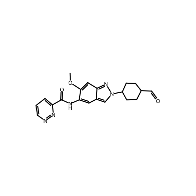 COc1cc2nn(C3CCC(C=O)CC3)cc2cc1NC(=O)c1cccnn1